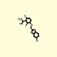 N=C(N)c1c(F)ccc(OCc2nc3cc(Cl)ccc3s2)c1F